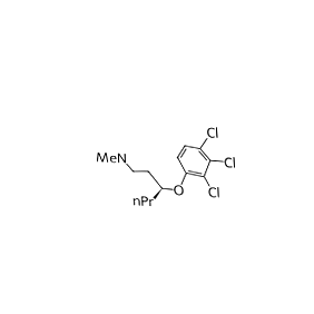 CCC[C@@H](CCNC)Oc1ccc(Cl)c(Cl)c1Cl